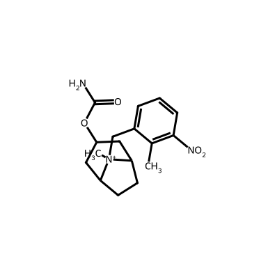 Cc1c(C[N+]2(C)C3CCC2CC(OC(N)=O)C3)cccc1[N+](=O)[O-]